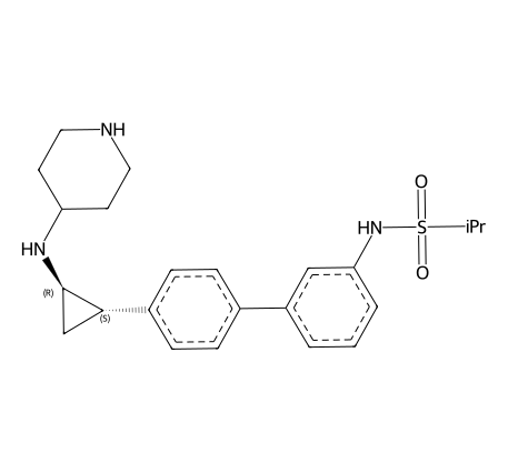 CC(C)S(=O)(=O)Nc1cccc(-c2ccc([C@@H]3C[C@H]3NC3CCNCC3)cc2)c1